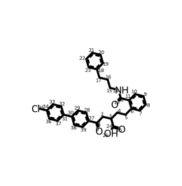 O=C(CC(CCc1ccccc1C(=O)NCCCc1ccccc1)C(=O)O)c1ccc(-c2ccc(Cl)cc2)cc1